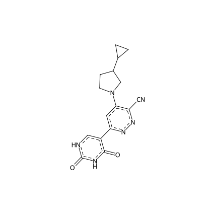 N#Cc1nnc(-c2c[nH]c(=O)[nH]c2=O)cc1N1CCC(C2CC2)C1